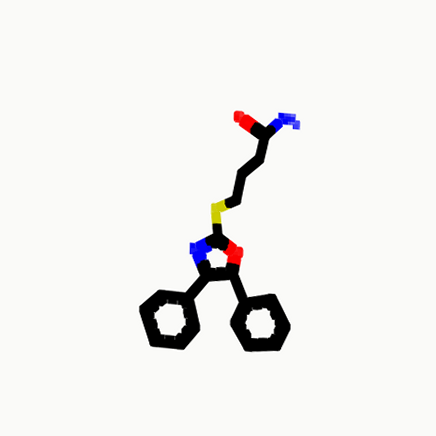 NC(=O)CCCSc1nc(-c2ccccc2)c(-c2ccccc2)o1